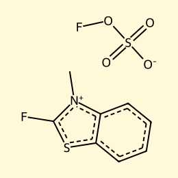 C[n+]1c(F)sc2ccccc21.O=S(=O)([O-])OF